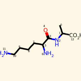 CC(NC(=O)C(N)CCCCN)C(=O)O